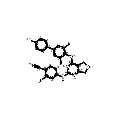 Cc1cc(-c2ccc(F)cc2)cc(C)c1Oc1nc(Nc2ccc(C#N)c(F)c2)nc2c1COC2